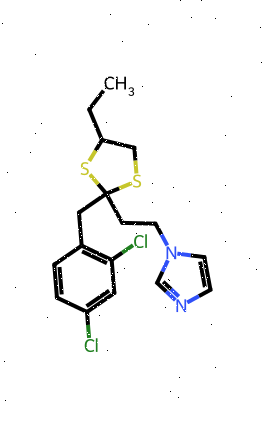 CCC1CSC(CCn2ccnc2)(Cc2ccc(Cl)cc2Cl)S1